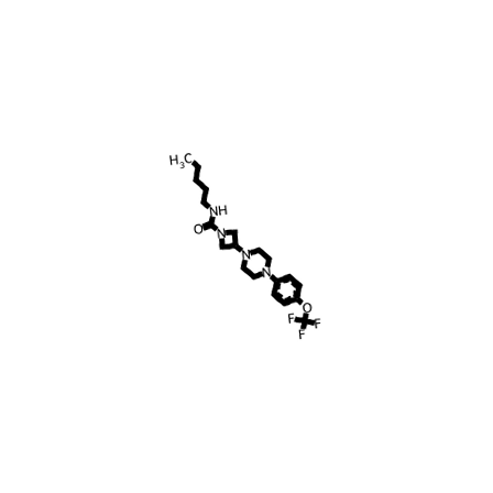 CCCCCNC(=O)N1CC(N2CCN(c3ccc(OC(F)(F)F)cc3)CC2)C1